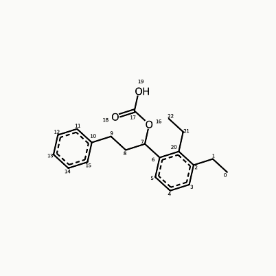 CCc1cccc(C(CCc2ccccc2)OC(=O)O)c1CC